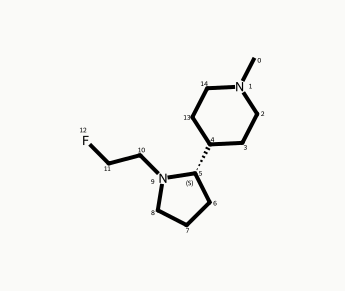 CN1CCC([C@@H]2CCCN2CCF)CC1